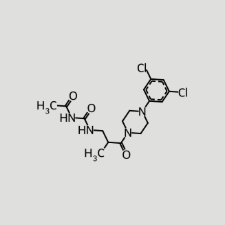 CC(=O)NC(=O)NCC(C)C(=O)N1CCN(c2cc(Cl)cc(Cl)c2)CC1